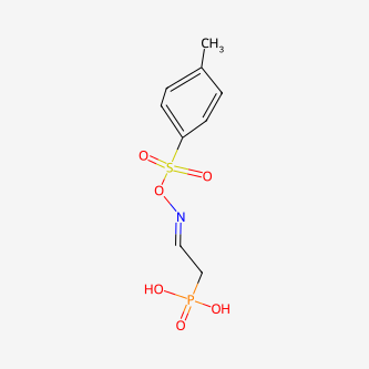 Cc1ccc(S(=O)(=O)ON=CCP(=O)(O)O)cc1